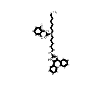 CCCCCCCN(CCCCCSc1nc(-c2ccccc2)c(-c2ccccc2)[nH]1)C(=O)Nc1c(Cl)cccc1Cl